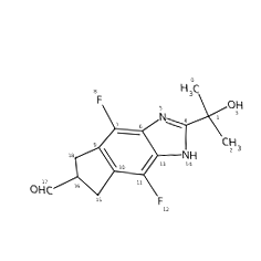 CC(C)(O)c1nc2c(F)c3c(c(F)c2[nH]1)CC(C=O)C3